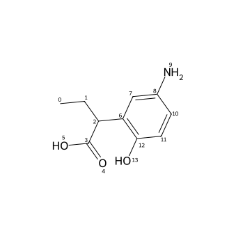 CCC(C(=O)O)c1cc(N)ccc1O